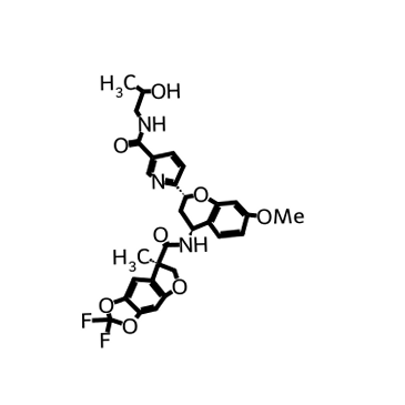 COc1ccc2c(c1)O[C@@H](c1ccc(C(=O)NCC(C)O)cn1)C[C@H]2NC(=O)[C@@]1(C)COc2cc3c(cc21)OC(F)(F)O3